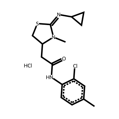 Cc1ccc(NC(=O)CC2CSC(=NC3CC3)N2C)c(Cl)c1.Cl